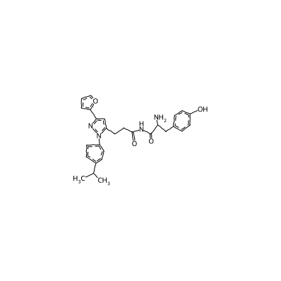 CC(C)c1ccc(-n2nc(-c3ccco3)cc2CCC(=O)NC(=O)C(N)Cc2ccc(O)cc2)cc1